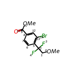 COCC(F)(F)c1ccc(C(=O)OC)cc1Br